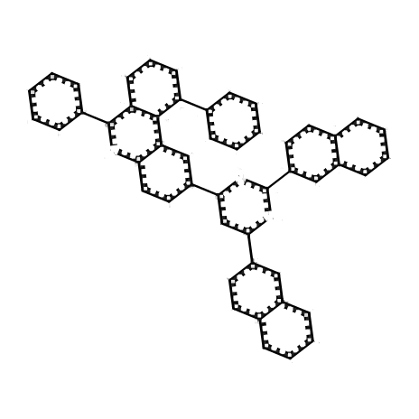 c1ccc(-c2nc3ccc(-c4cc(-c5ccc6ccccc6c5)nc(-c5ccc6ccccc6c5)n4)cc3c3c(-c4ccccc4)cccc23)cc1